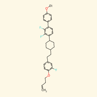 C=CCCOc1ccc(CCC2CCC(c3ccc(-c4ccc(OCC)cc4)c(F)c3F)CC2)cc1F